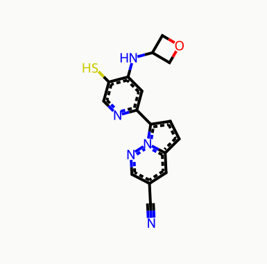 N#Cc1cnn2c(-c3cc(NC4COC4)c(S)cn3)ccc2c1